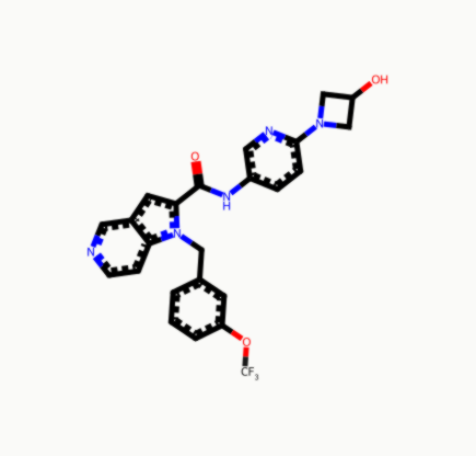 O=C(Nc1ccc(N2CC(O)C2)nc1)c1cc2cnccc2n1Cc1cccc(OC(F)(F)F)c1